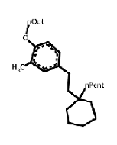 CCCCCCCCOc1ccc(CCC2(CCCCC)CCCCC2)cc1C